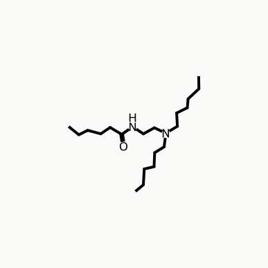 CCCCCCN(CCCCCC)CCNC(=O)CCCCC